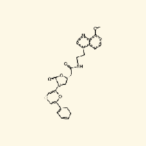 COc1cccc2c(CCNC(=O)C[C@@H]3CN(C4=COC=C(C5=CC=CCC5)O4)C(=O)O3)ccnc12